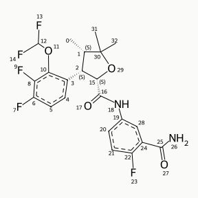 C[C@H]1[C@@H](c2ccc(F)c(F)c2OC(F)F)[C@@H](C(=O)Nc2ccc(F)c(C(N)=O)c2)OC1(C)C